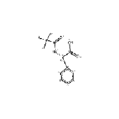 CC(C)(C)C(=O)N[C@H](C(=O)O)c1ccccc1